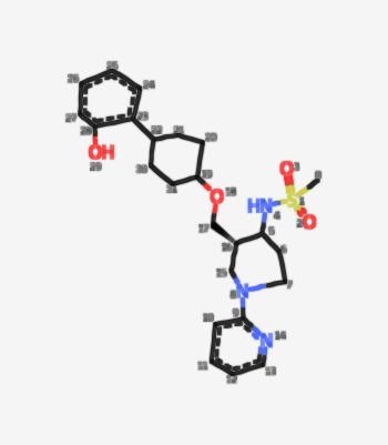 CS(=O)(=O)NC1CCN(c2ccccn2)C[C@H]1COC1CCC(c2ccccc2O)CC1